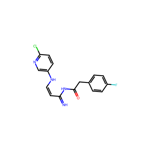 N=C(/C=C\Nc1ccc(Cl)nc1)NC(=O)Cc1ccc(F)cc1